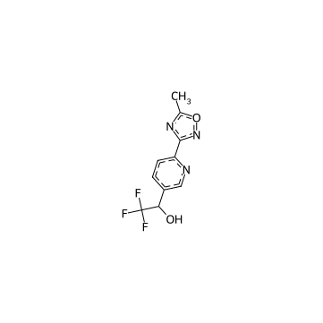 Cc1nc(-c2ccc(C(O)C(F)(F)F)cn2)no1